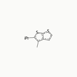 Cc1c(C(C)C)sc2sccc12